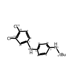 CC(C)(C)Nc1ccc(Nc2ccc(Cl)c(Cl)c2)cc1